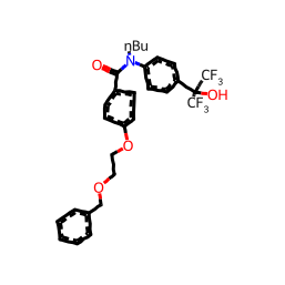 CCCCN(C(=O)c1ccc(OCCOCc2ccccc2)cc1)c1ccc(C(O)(C(F)(F)F)C(F)(F)F)cc1